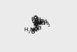 CN(C(=O)c1c(F)cccc1Cl)c1ncc(-c2cc(C(N)=O)ccc2Cl)cc1N1CC(C)(C)C1